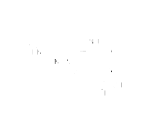 CNc1ccc(C(N)=C2C(=O)OC(C)(C)OC2=O)nn1